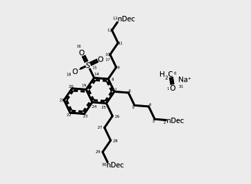 C=O.CCCCCCCCCCCCCCc1c(CCCCCCCCCCCCCC)c(S(=O)(=O)[O-])c2ccccc2c1CCCCCCCCCCCCCC.[Na+]